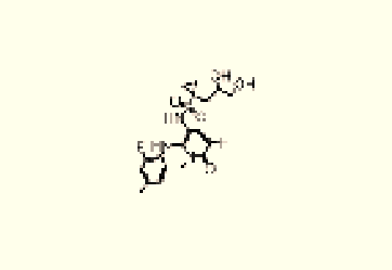 Cn1c(Nc2ccc(I)cc2F)c(NS(=O)(=O)C2(CC(O)CO)CC2)cc(F)c1=O